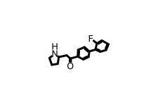 O=C(CC1CCCN1)c1ccc(-c2ccccc2F)cc1